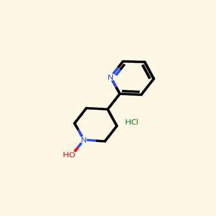 Cl.ON1CCC(c2ccccn2)CC1